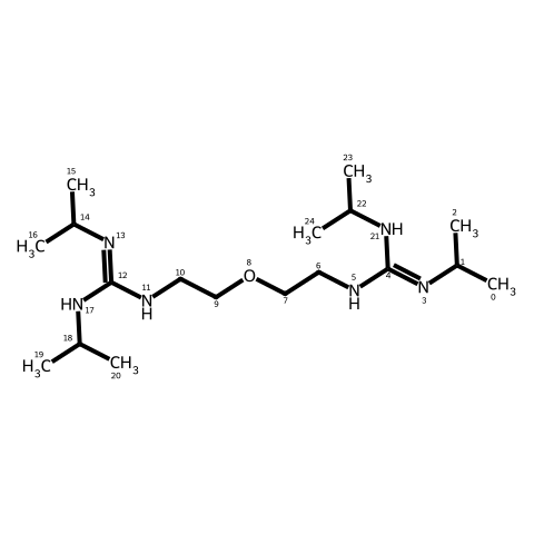 CC(C)N=C(NCCOCCNC(=NC(C)C)NC(C)C)NC(C)C